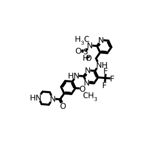 COc1cc(C(=O)N2CCNCC2)ccc1Nc1ncc(C(F)(F)F)c(NCc2cccnc2N(C)[SH](=O)=O)n1